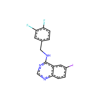 Fc1ccc(CNc2ncnc3ccc(I)cc23)cc1F